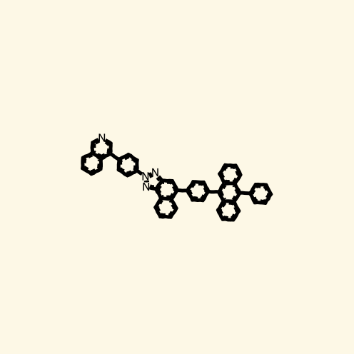 c1ccc(-c2c3ccccc3c(-c3ccc(-c4cc5nn(-c6ccc(-c7cncc8ccccc78)cc6)nc5c5ccccc45)cc3)c3ccccc23)cc1